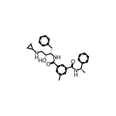 Cc1cc(C(=O)N[C@@H](Cc2ccccc2)[C@H](O)CNC2CC2)cc(C(=O)N[C@H](C)c2ccccc2)c1